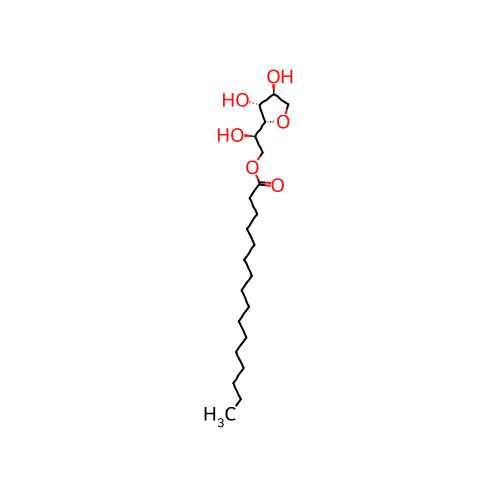 CCCCCCCCCCCCCCCC(=O)OC[C@@H](O)[C@H]1OC[C@H](O)[C@H]1O